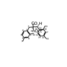 CCCCCCCCC(Cc1ccc(C)cc1C)(Cc1ccc(C)cc1C)C(=O)O